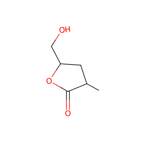 CC1CC(CO)OC1=O